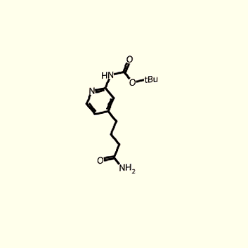 CC(C)(C)OC(=O)Nc1cc(CCCC(N)=O)ccn1